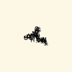 COc1ccc(CNc2nc3cc(OC)c(F)cc3c3nc(C4CCCN(c5cnn(CSC)c5C)C4)nn23)c(OC)c1